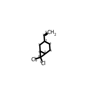 C=CC1CCC2C(C1)C2(Cl)Cl